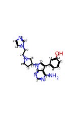 Nc1ncnc2c1c(-c1cccc(O)c1)cn2C1CCN(CCn2ccnc2)C1